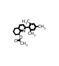 CC(=O)O[C@H]1CCCc2ccc(-c3c(C)cc(C)cc3C)nc21